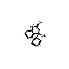 CC1(c2ccccc2)CC(=O)Nc2ccccc21